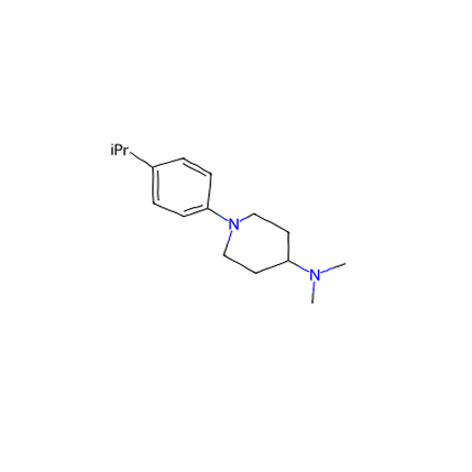 CC(C)c1ccc(N2CCC(N(C)C)CC2)cc1